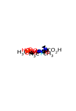 Cc1c(F)c(N2CCN(C(=O)Oc3ccc(CC(P(C)(=O)O)P(=O)(O)O)cc3)C(C)C2)cc2c1c(=O)c(C(=O)O)cn2C1CC1